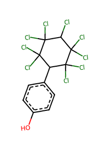 Oc1ccc(C2C(Cl)(Cl)C(Cl)(Cl)C(Cl)C(Cl)(Cl)C2(Cl)Cl)cc1